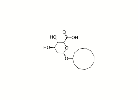 O=C(O)[C@H]1O[C@@H](OC2CCCCCCCCCC2)C[C@@H](O)[C@@H]1O